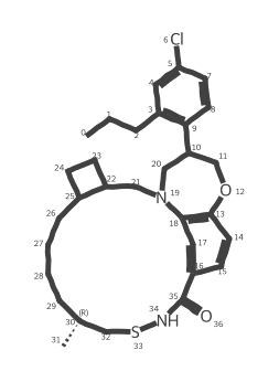 CCCc1cc(Cl)ccc1C1COc2ccc3cc2N(C1)CC1CCC1CCCC[C@@H](C)CSNC3=O